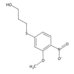 COc1cc(SCCCO)ccc1[N+](=O)[O-]